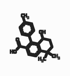 Cc1ccc(-c2c(C(=O)O)ccc3c2C(O)CCC3(C)C)cc1